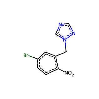 O=[N+]([O-])c1ccc(Br)cc1Cn1cncn1